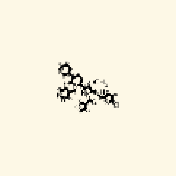 COc1c(-c2ccc(-c3cccnc3)c(=O)n2Cc2ccnnc2)nn(C(=O)c2ccoc2)c1NCc1ccc(Cl)s1